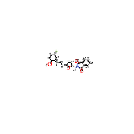 COc1ccc(F)cc1CCC[C@@H]1CC[C@H](CN2C(=O)c3ccccc3C2=O)O1